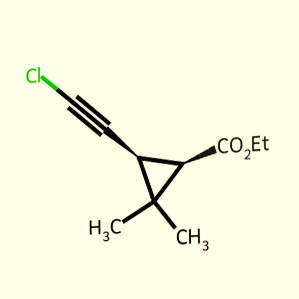 CCOC(=O)[C@@H]1[C@H](C#CCl)C1(C)C